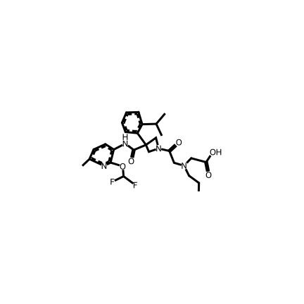 CCCN(CC(=O)O)CC(=O)N1CC(C(=O)Nc2ccc(C)nc2OC(F)F)(c2ccccc2C(C)C)C1